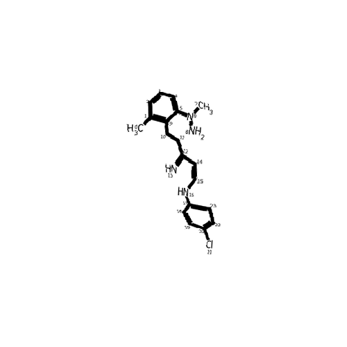 Cc1cccc(N(C)N)c1CCC(=N)/C=C\Nc1ccc(Cl)cc1